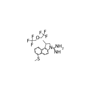 CSc1cccc2c3c(ccc12)N(C(=N)N)CC3C.FC(F)(F)COCC(F)(F)F